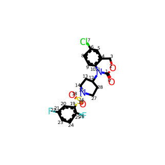 O=C1OCc2cc(Cl)ccc2N1C1CCN(S(=O)(=O)c2cc(F)ccc2F)CC1